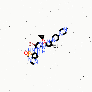 CCc1cc(NC2=NC=C(Br)C(Nc3ccc4nccnc4c3P(C)(C)=O)N2)c(OC2CC2)nc1N1CCC(N2CCN(C)CC2)CC1